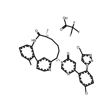 Cc1cccc2c1-c1ccnc(c1)[C@@H](n1cnc(-c3cc(Cl)ccc3-n3cc(Cl)nn3)cc1=O)CCC[C@@H](C)C(=O)N2.O=C(O)C(F)(F)F